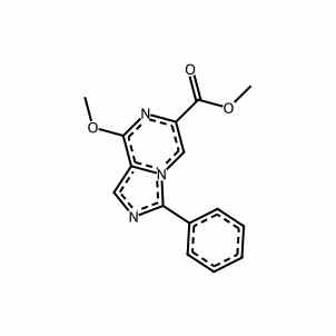 COC(=O)c1cn2c(-c3ccccc3)ncc2c(OC)n1